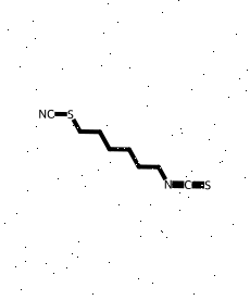 N#CSCCCCCCN=C=S